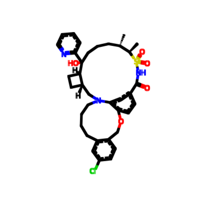 C[C@@H]1[C@@H](C)CCC[C@@](O)(c2ccccn2)[C@@H]2CC[C@H]2CN2CCCCc3cc(Cl)ccc3COc3ccc(cc32)C(=O)NS1(=O)=O